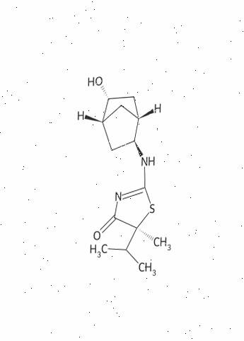 CC(C)[C@]1(C)SC(N[C@H]2C[C@H]3C[C@@H]2C[C@H]3O)=NC1=O